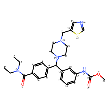 CCN(CC)C(=O)c1ccc(C(c2cccc(NC(=O)OC)c2)N2CCN(Cc3cncs3)CC2)cc1